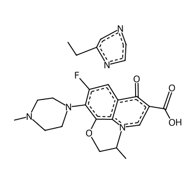 CC1COc2c(N3CCN(C)CC3)c(F)cc3c(=O)c(C(=O)O)cn1c23.CCc1cnccn1